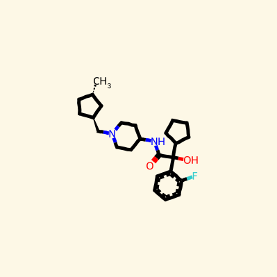 C[C@H]1CC[C@H](CN2CCC(NC(=O)C(O)(c3ccccc3F)C3CCCC3)CC2)C1